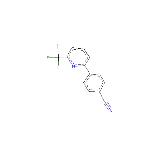 N#Cc1ccc(-c2cccc(C(F)(F)F)n2)cc1